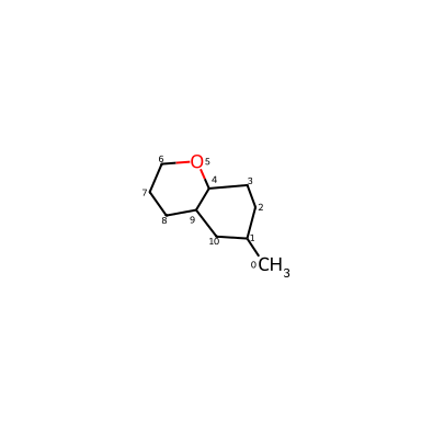 CC1CCC2OCCCC2C1